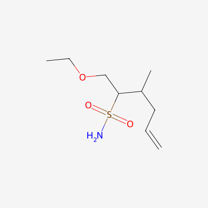 C=CCC(C)C(COCC)S(N)(=O)=O